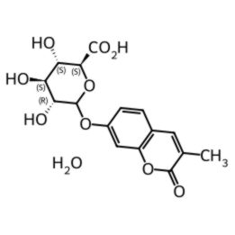 Cc1cc2ccc(OC3O[C@H](C(=O)O)[C@@H](O)[C@H](O)[C@H]3O)cc2oc1=O.O